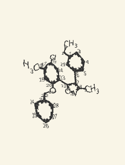 CCc1cccc(-c2c(C)noc2-c2cc(Cl)c(C)cc2OCc2ccccc2)c1